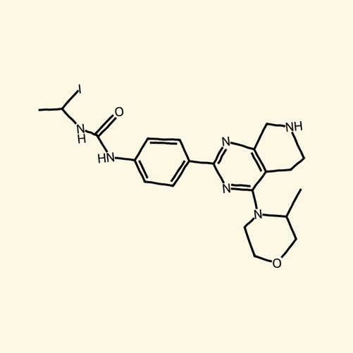 CC(I)NC(=O)Nc1ccc(-c2nc3c(c(N4CCOCC4C)n2)CCNC3)cc1